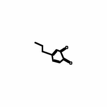 CCCC1=CC(=O)C(=O)C=C1